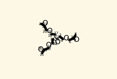 CO[Si](CCOCC1CO1)(CCOCC1CO1)CCOCC1CO1